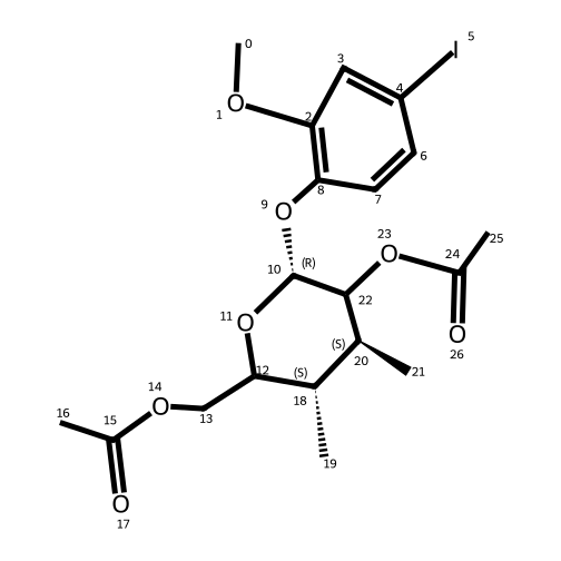 COc1cc(I)ccc1O[C@H]1OC(COC(C)=O)[C@@H](C)[C@H](C)C1OC(C)=O